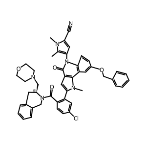 Cc1c(-n2c(=O)c3cc(-c4cc(Cl)ccc4C(=O)N4Cc5ccccc5C[C@H]4CN4CCOCC4)n(C)c3c3cc(OCc4ccccc4)ccc32)cc(C#N)n1C